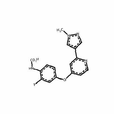 Cn1cc(-c2cc(Oc3ccc(NC(=O)O)c(F)c3)ccn2)cn1